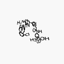 Nc1ncc(-c2cnn(CC(=O)NC3CCN(C(=O)O)[C@@H](C(=O)O)C3)c2)nc1NCc1c(Cl)cccc1Cl